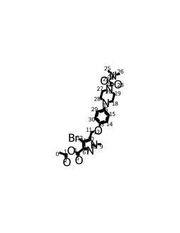 CC(=O)OC(=O)c1nn(C)c(COc2ccc(N3CCN(S(=O)(=O)N(C)C)CC3)cc2)c1Br